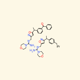 CC(C)Cc1ccc(C(C)c2cc(C/N=C(/N)N3CCOCC3)on2)cc1.CC(c1cccc(C(=O)c2ccccc2)c1)c1cc(C/N=C(\N)N2CCOCC2)no1